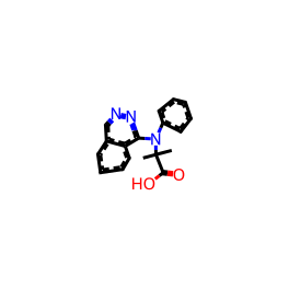 CC(C)(C(=O)O)N(c1ccccc1)c1nncc2ccccc12